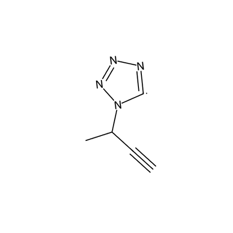 C#CC(C)n1[c]nnn1